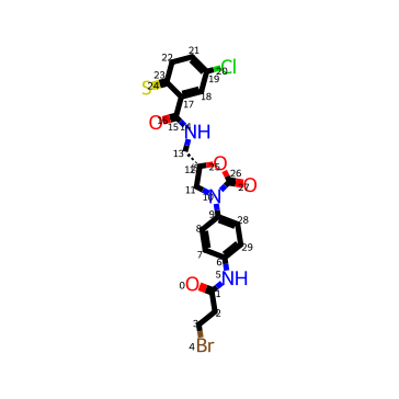 O=C(CCBr)Nc1ccc(N2C[C@H](CNC(=O)C3=CC(Cl)=CCC3=S)OC2=O)cc1